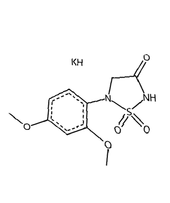 COc1ccc(N2CC(=O)NS2(=O)=O)c(OC)c1.[KH]